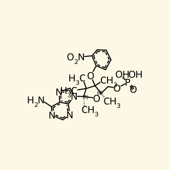 CC1(Oc2ccccc2[N+](=O)[O-])C(C)(C)[C@](C)(n2cnc3c(N)ncnc32)O[C@]1(C)COP(=O)(O)O